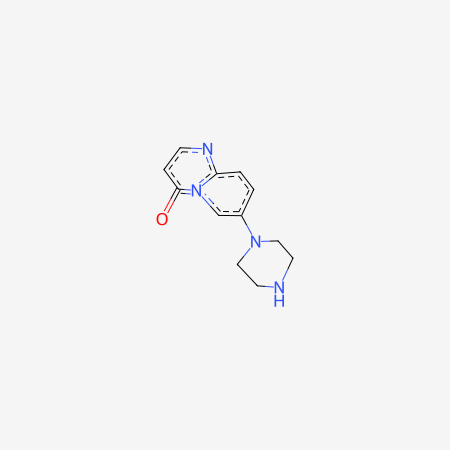 O=c1ccnc2ccc(N3CCNCC3)cn12